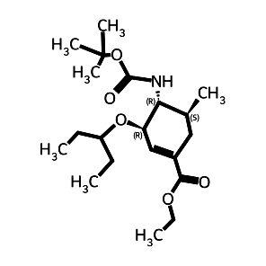 CCOC(=O)C1=C[C@@H](OC(CC)CC)[C@H](NC(=O)OC(C)(C)C)[C@@H](C)C1